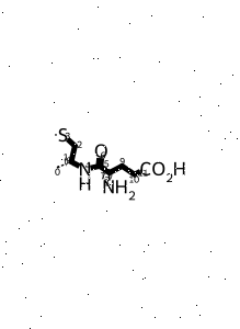 C[C@H](C[S])NC(=O)[C@@H](N)CCC(=O)O